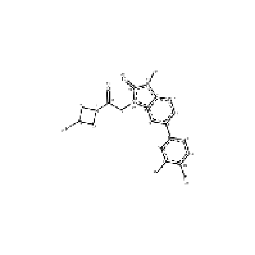 Cc1cc(-c2cnc3c(c2)n(CC(=O)N2CC(F)C2)c(=O)n3C)ccc1F